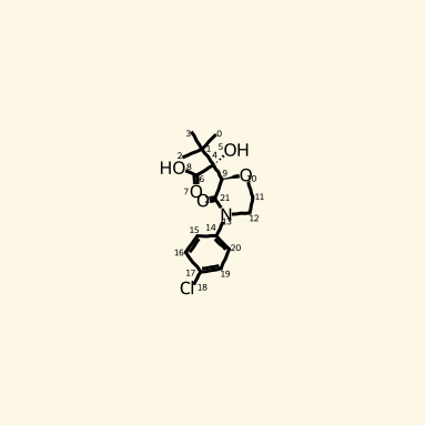 CC(C)(C)[C@](O)(C(=O)O)[C@H]1OCCN(c2ccc(Cl)cc2)C1=O